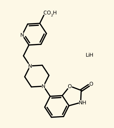 O=C(O)c1ccc(CN2CCN(c3cccc4[nH]c(=O)oc34)CC2)nc1.[LiH]